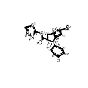 C[C@@]1(C(=O)Nc2nncs2)Cc2sc(Br)cc2[C@@H]1c1ccccc1